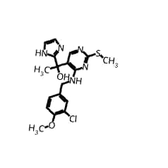 COc1ccc(CNc2nc(SC)ncc2C(C)(O)c2ncc[nH]2)cc1Cl